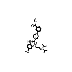 CCOC(=O)c1cccc(N2CCN(C(=O)Nc3ccc(OC)cc3OCCCN(C(C)C)C(C)C)CC2)c1